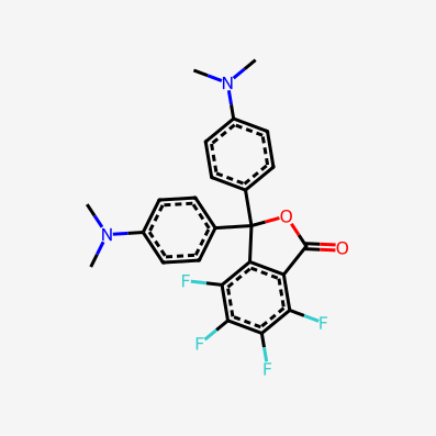 CN(C)c1ccc(C2(c3ccc(N(C)C)cc3)OC(=O)c3c(F)c(F)c(F)c(F)c32)cc1